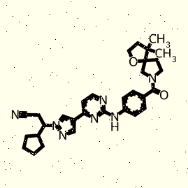 CC1(C)CCOC12CCN(C(=O)c1ccc(Nc3nccc(-c4cnn(C(CC#N)C5CCCC5)c4)n3)cc1)C2